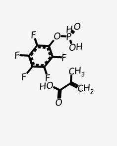 C=C(C)C(=O)O.O=[PH](O)Oc1c(F)c(F)c(F)c(F)c1F